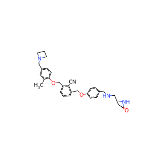 Cc1cc(CN2CCC2)ccc1OCc1cccc(COc2ccc(CNCC3CC(=O)N3)cc2)c1C#N